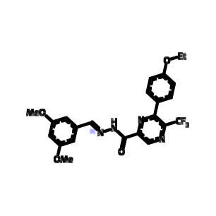 CCOc1ccc(-c2nc(C(=O)N/N=C/c3cc(OC)cc(OC)c3)cnc2C(F)(F)F)cc1